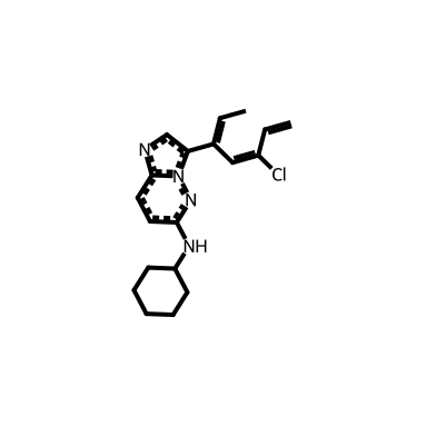 C=C/C(Cl)=C\C(=C/C)c1cnc2ccc(NC3CCCCC3)nn12